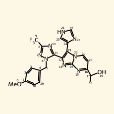 COc1ccc(Cn2nc(C(F)(F)F)nc2-c2nc3nc(C(C)O)ccn3c2-c2c[nH]cn2)cc1